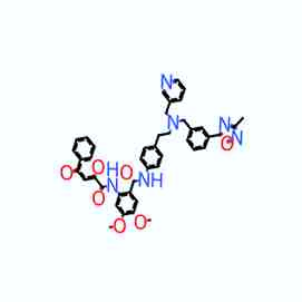 COc1cc(NC(=O)c2cc(=O)c3ccccc3o2)c(C(=O)Nc2ccc(CCN(Cc3cccnc3)Cc3cccc(-c4nc(C)no4)c3)cc2)cc1OC